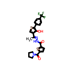 CC(=NNC(=O)c1ccc(C(=O)N2CCCC2)s1)c1csc(-c2ccc(C(F)(F)F)cc2)c1O